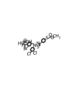 COC(=O)CSc1ccc(-c2csc(N(Cc3ccc(C(F)(F)P(=O)(O)O)c(Br)c3)c3ccc(Cl)c(Cl)c3)n2)cc1